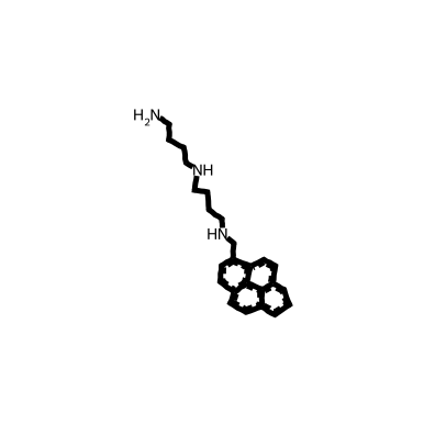 NCCCCNCCCCNCc1ccc2ccc3cccc4ccc1c2c34